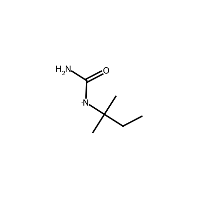 CCC(C)(C)[N]C(N)=O